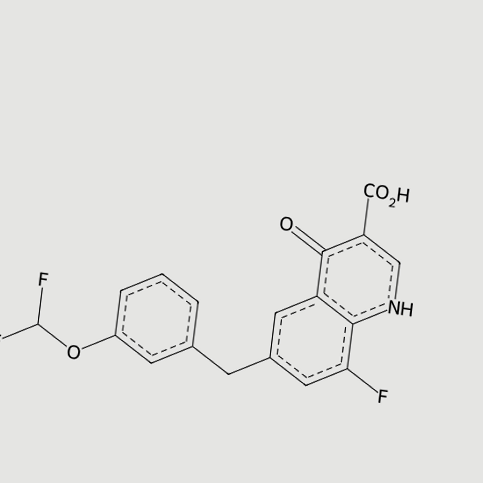 O=C(O)c1c[nH]c2c(F)cc(Cc3cccc(OC(F)F)c3)cc2c1=O